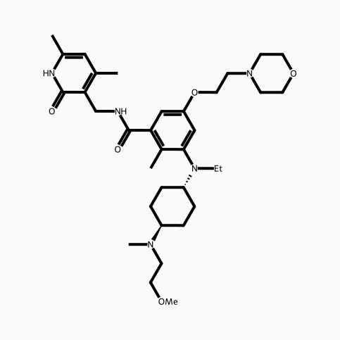 CCN(c1cc(OCCN2CCOCC2)cc(C(=O)NCc2c(C)cc(C)[nH]c2=O)c1C)[C@H]1CC[C@H](N(C)CCOC)CC1